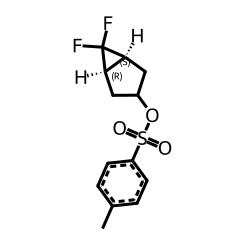 Cc1ccc(S(=O)(=O)OC2C[C@@H]3[C@H](C2)C3(F)F)cc1